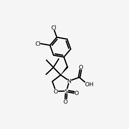 CC(C)(C)[C@@]1(Cc2ccc(Cl)c(Cl)c2)COS(=O)(=O)N1C(=O)O